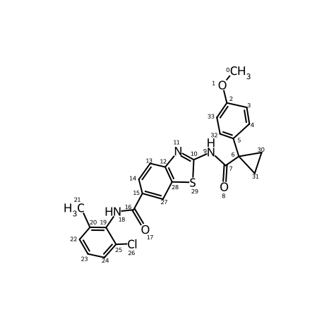 COc1ccc(C2(C(=O)Nc3nc4ccc(C(=O)Nc5c(C)cccc5Cl)cc4s3)CC2)cc1